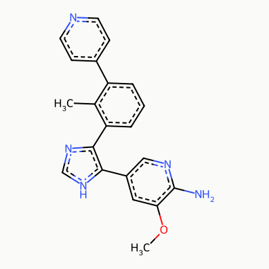 COc1cc(-c2[nH]cnc2-c2cccc(-c3ccncc3)c2C)cnc1N